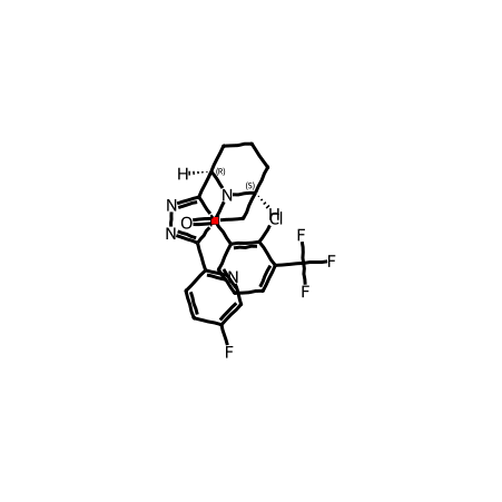 O=C(c1cccc(C(F)(F)F)c1Cl)N1[C@H]2CCC[C@@H]1c1nnc(-c3ccc(F)cn3)n1C2